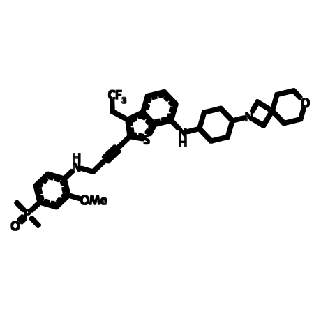 COc1cc(P(C)(C)=O)ccc1NCC#Cc1sc2c(NC3CCC(N4CC5(CCOCC5)C4)CC3)cccc2c1CC(F)(F)F